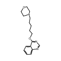 c1ccc2c(OCCCCCN3CCOCC3)ncnc2c1